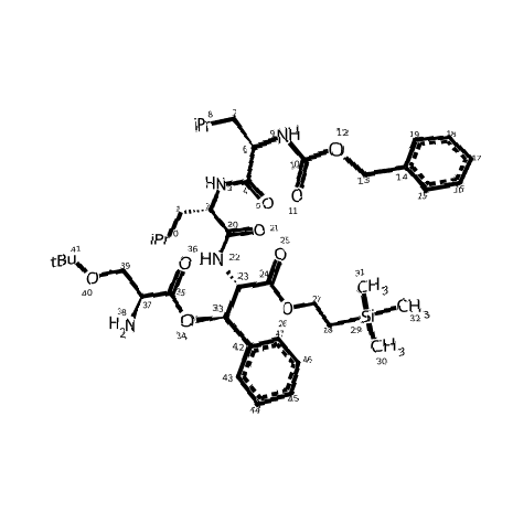 CC(C)C[C@H](NC(=O)[C@@H](CC(C)C)NC(=O)OCc1ccccc1)C(=O)N[C@H](C(=O)OCC[Si](C)(C)C)[C@H](OC(=O)[C@@H](N)COC(C)(C)C)c1ccccc1